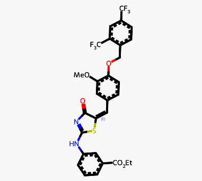 CCOC(=O)c1cccc(NC2=NC(=O)/C(=C\c3ccc(OCc4ccc(C(F)(F)F)cc4C(F)(F)F)c(OC)c3)S2)c1